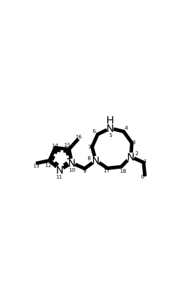 CCN1CCNCCN(Cn2nc(C)cc2C)CC1